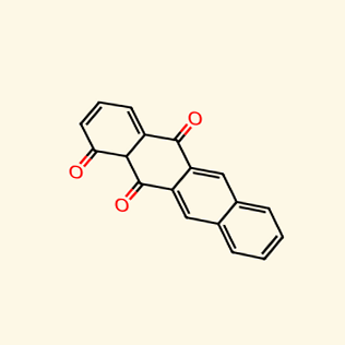 O=C1C2=CC=CC(=O)C2C(=O)c2cc3ccccc3cc21